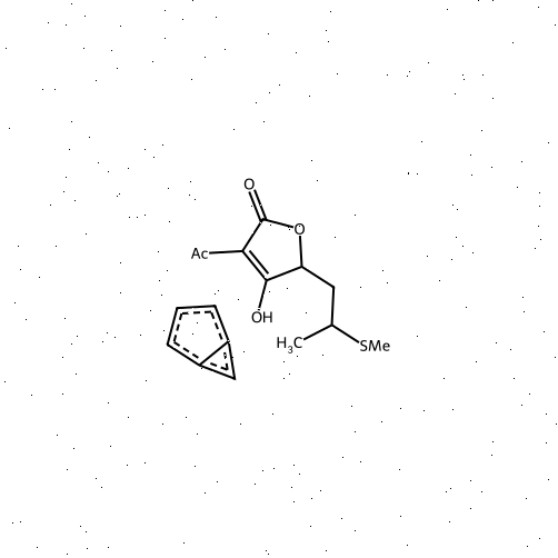 CSC(C)CC1OC(=O)C(C(C)=O)=C1O.c1cc2cc-2c1